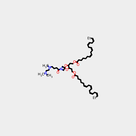 CC/C=C\C/C=C\C/C=C\C/C=C\CCCCCC(=O)OCCC1OC2(CN(C(=O)CCCN(C)CCN(C)C)C2)OC1CCOC(=O)CCCCC/C=C\C/C=C\C/C=C\C/C=C\CC